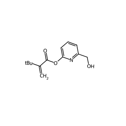 C=C(C(=O)Oc1cccc(CO)n1)C(C)(C)C